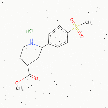 COC(=O)C1CCNC(c2ccc(S(C)(=O)=O)cc2)C1.Cl